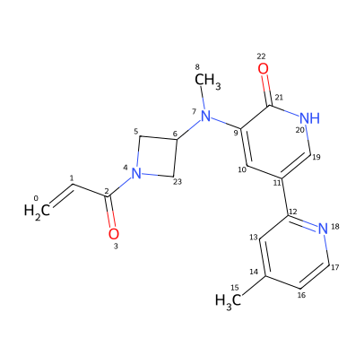 C=CC(=O)N1CC(N(C)c2cc(-c3cc(C)ccn3)c[nH]c2=O)C1